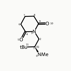 CN[C@H](CN1C(=O)CCCC1=O)C(C)(C)C